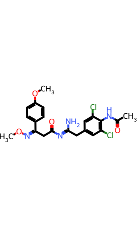 CO/N=C(/CC(=O)/N=C(\N)Cc1cc(Cl)c(NC(C)=O)c(Cl)c1)c1ccc(OC)cc1